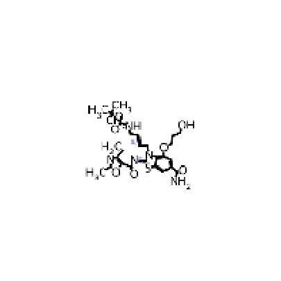 CCc1nc(C)oc1C(=O)/N=c1\sc2cc(C(N)=O)cc(OCCCO)c2n1C/C=C/CNC(=O)OC(C)(C)C